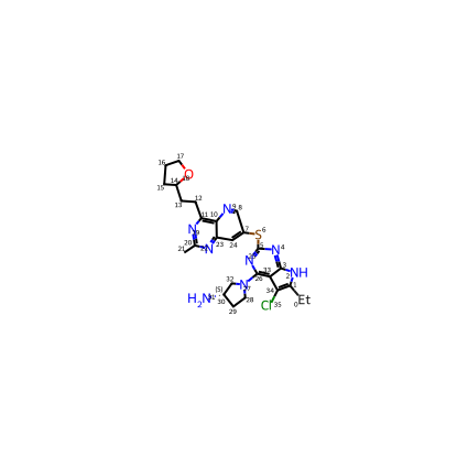 CCc1[nH]c2nc(Sc3cnc4c(CCC5CCCO5)nc(C)nc4c3)nc(N3CC[C@H](N)C3)c2c1Cl